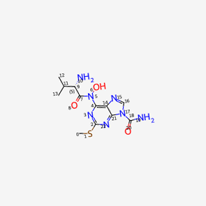 CSc1nc(N(O)C(=O)[C@@H](N)C(C)C)c2ncn(C(N)=O)c2n1